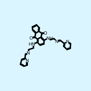 O=C1c2ccccc2C(=O)c2c(NCCN=Cc3ccccn3)ccc(NCCN=Cc3ccccn3)c21